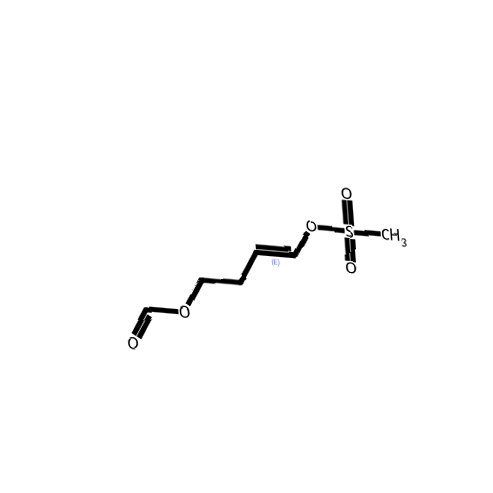 CS(=O)(=O)O/C=C/CCOC=O